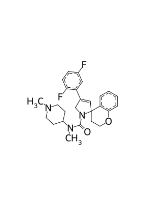 CN1CCC(N(C)C(=O)N2CC(c3cc(F)ccc3F)=CC23CCOc2ccccc23)CC1